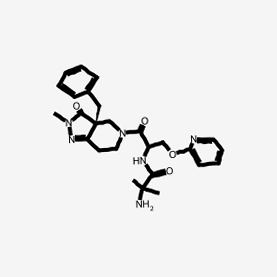 CN1N=C2CCN(C(=O)C(COc3ccccn3)NC(=O)C(C)(C)N)C[C@@]2(Cc2ccccc2)C1=O